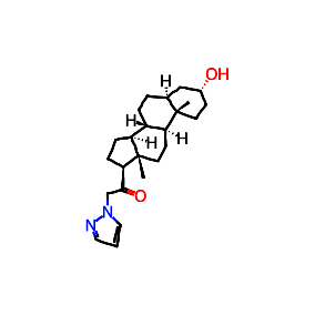 C[C@]12CC[C@@H](O)C[C@@H]1CC[C@@H]1[C@@H]2CC[C@]2(C)[C@@H](C(=O)Cn3cccn3)CC[C@@H]12